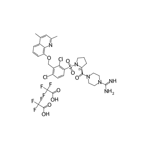 Cc1cc(C)c2cccc(OCc3c(Cl)ccc(S(=O)(=O)N4CCC[C@H]4C(=O)N4CCN(C(=N)N)CC4)c3Cl)c2n1.O=C(O)C(F)(F)F.O=C(O)C(F)(F)F